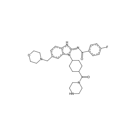 O=C(/N=c1/[nH]c2ccc(CN3CCOCC3)cc2n1C1CCC(C(=O)N2CCNCC2)CC1)c1ccc(F)cc1